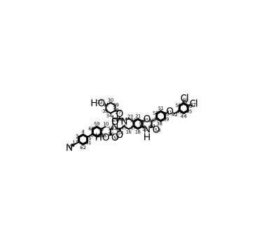 N#Cc1ccc(-c2ccc(C[C@H](NC(=O)C3Cc4cc5c(cc4CN3C(=O)OC3CCC(O)CC3)O[C@@H](c3ccc(OCc4ccc(Cl)c(Cl)c4)cc3)C(=O)N5)C(=O)O)cc2)cc1